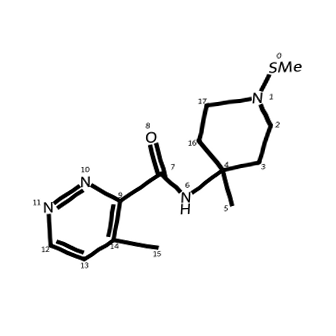 CSN1CCC(C)(NC(=O)c2nnccc2C)CC1